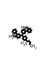 C=C/C=C\C(=C)C1=CC=C(C(C2=CC(c3ccccc3N)C(N)C=C2)C2C=C(c3ccccc3N)C(N)=CC2)CC1